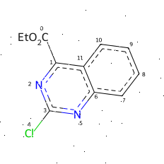 CCOC(=O)c1nc(Cl)nc2ccccc12